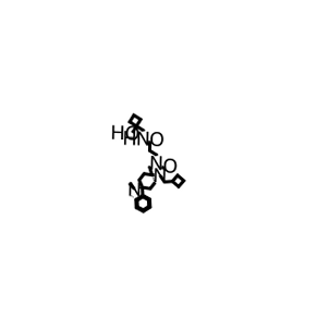 CN(C)[C@]1(c2ccccc2)CC[C@]2(CC1)CN(CCC(=O)NCC1(O)CCC1)C(=O)N2CC1CCC1